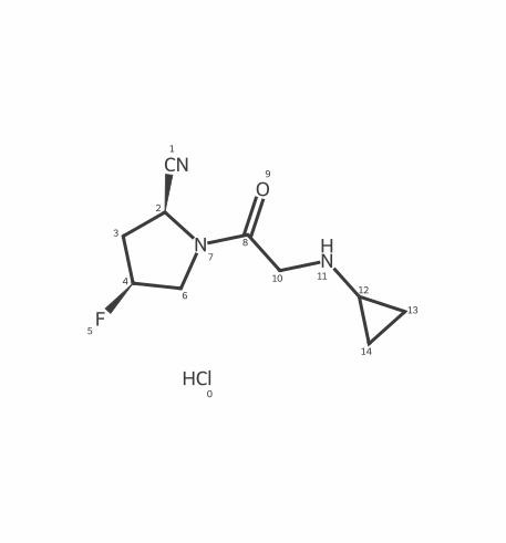 Cl.N#C[C@@H]1C[C@H](F)CN1C(=O)CNC1CC1